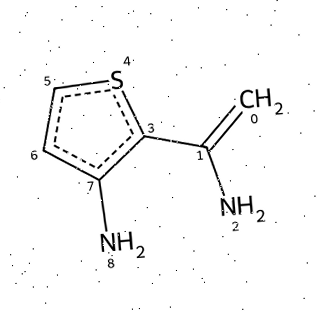 C=C(N)c1sccc1N